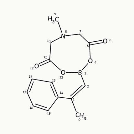 CC(=CB1OC(=O)CN(C)CC(=O)O1)c1ccccc1